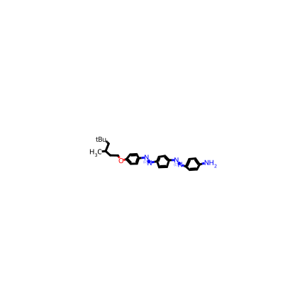 CC(CCOc1ccc(/N=N/c2ccc(/N=N/c3ccc(N)cc3)cc2)cc1)CC(C)(C)C